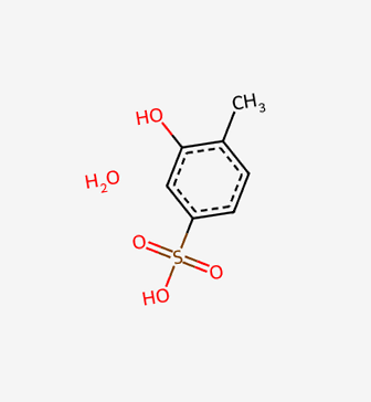 Cc1ccc(S(=O)(=O)O)cc1O.O